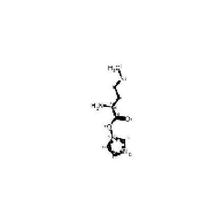 CSCC[C@H](N)C(=O)On1ccnc1